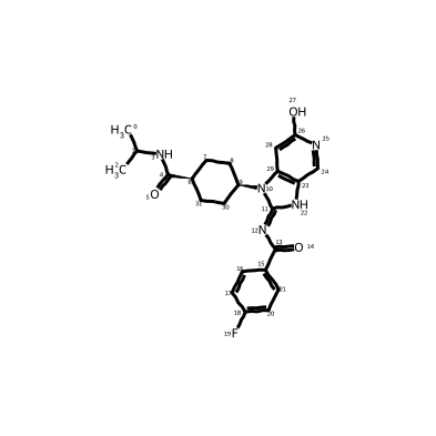 CC(C)NC(=O)[C@H]1CC[C@@H](n2/c(=N/C(=O)c3ccc(F)cc3)[nH]c3cnc(O)cc32)CC1